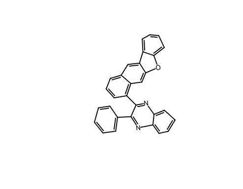 c1ccc(-c2nc3ccccc3nc2-c2cccc3cc4c(cc23)oc2ccccc24)cc1